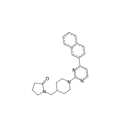 O=C1CCCN1CC1CCN(c2nccc(-c3ccc4ccccc4c3)n2)CC1